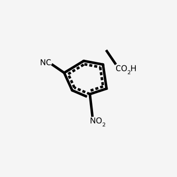 CC(=O)O.N#Cc1cccc([N+](=O)[O-])c1